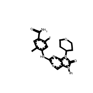 Cc1cc(C(N)=O)c(F)cc1Nc1ncc2c(n1)n(C1CCOCC1)c(=O)n2C(C)C